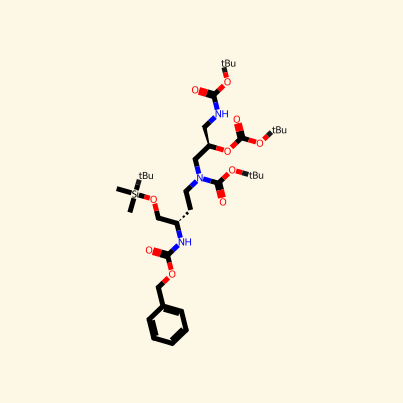 CC(C)(C)OC(=O)NC[C@H](CN(CC[C@@H](CO[Si](C)(C)C(C)(C)C)NC(=O)OCc1ccccc1)C(=O)OC(C)(C)C)OC(=O)OC(C)(C)C